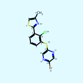 Cc1csc(-c2cccc(Sc3cnc(Br)cn3)c2Cl)n1